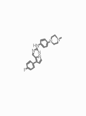 CN1CCN(c2ccc(Nc3ncc4c(-c5ccc(F)cc5)ccn4n3)cc2)CC1